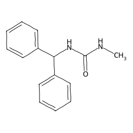 CNC(=O)NC(c1ccccc1)c1ccccc1